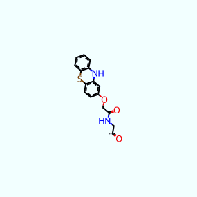 O=[C]CNC(=O)COc1ccc2c(c1)Nc1ccccc1S2